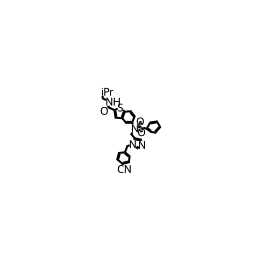 CC(C)CNC(=O)c1cc2cc(N(Cc3cncn3Cc3ccc(C#N)cc3)S(=O)(=O)c3ccccc3)ccc2s1